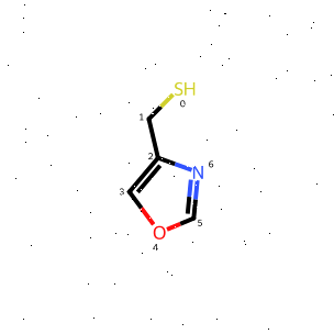 SCc1cocn1